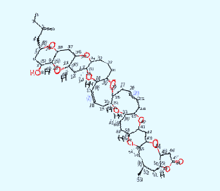 C=C(CC)C[C@@H]1C[C@H](O)[C@@H]2O[C@@H]3C[C@]4(C)O[C@@H]5/C=C\C[C@@H]6O[C@H]7C(C/C=C\CC6OC5CCCC4OC3CC2O1)OC1CC2OC3CC(=O)O[C@H]3C[C@@H](C)C[C@@]2(C)O[C@H]1C[C@@H]7C